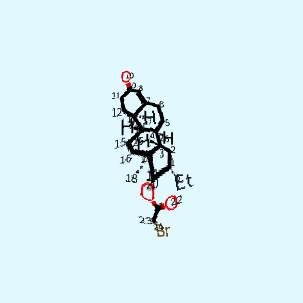 CC[C@H]1C[C@H]2[C@@H]3CCC4=CC(=O)CC[C@@H]4[C@H]3CC[C@]2(C)[C@H]1OC(=O)CBr